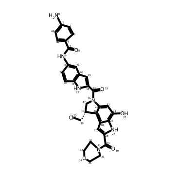 Nc1ccc(C(=O)Nc2ccc3[nH]c(C(=O)N4C[C@@H](CCl)c5c4cc(O)c4[nH]c(C(=O)N6CCOCC6)cc54)cc3c2)cc1